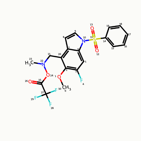 COc1c(F)cc2c(ccn2S(=O)(=O)c2ccccc2)c1CN(C)OC(=O)C(F)(F)F